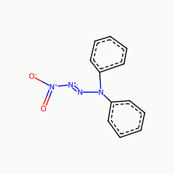 O=[N+]([O-])[N+]=NN(c1ccccc1)c1ccccc1